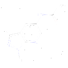 COC(=O)Nc1cnc2c(c1)c(I)nn2C